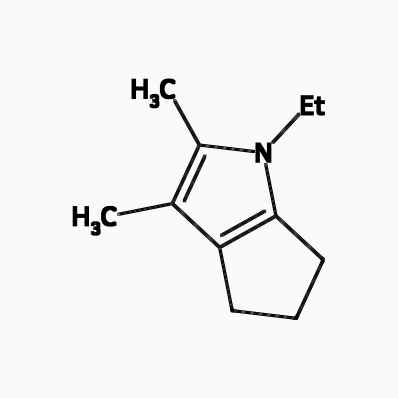 CCn1c(C)c(C)c2c1CCC2